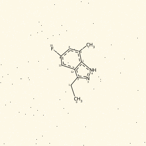 CCc1n[nH]c2c(C)cc(F)cc12